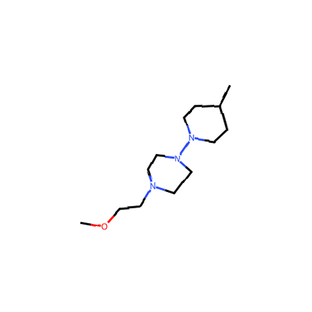 COCCN1CCN(N2CCC(C)CC2)CC1